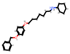 c1ccc(COc2ccc(OCCCCCCCNC3CCCCC3)cc2)cc1